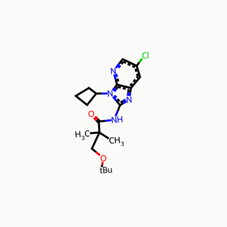 CC(C)(C)OCC(C)(C)C(=O)Nc1nc2cc(Cl)cnc2n1C1CCC1